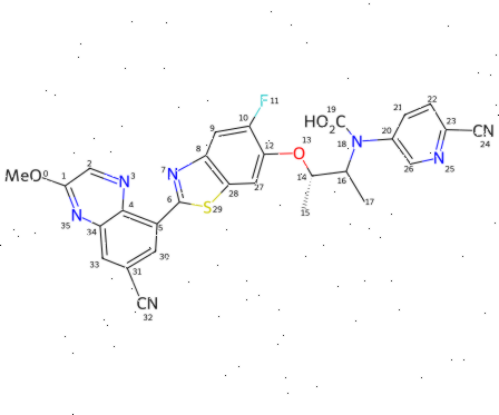 COc1cnc2c(-c3nc4cc(F)c(O[C@@H](C)C(C)N(C(=O)O)c5ccc(C#N)nc5)cc4s3)cc(C#N)cc2n1